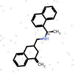 C=C1CC(CN[C@H](C)c2cccc3ccccc23)Cc2ccccc21